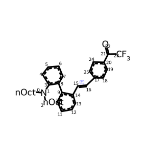 CCCCCCCCN(CCCCCCCC)c1ccccc1-c1ccccc1/C=C/c1ccc(C(=O)C(F)(F)F)cc1